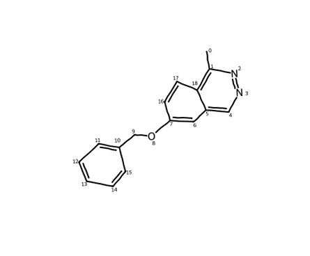 Cc1nncc2cc(OCc3ccccc3)ccc12